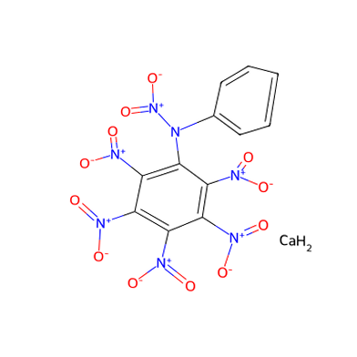 O=[N+]([O-])c1c(N(c2ccccc2)[N+](=O)[O-])c([N+](=O)[O-])c([N+](=O)[O-])c([N+](=O)[O-])c1[N+](=O)[O-].[CaH2]